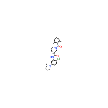 Cc1cccc(C)c1C(=O)N1CCC[C@H](C(=O)Nc2cc(N3CCCC3C)ccc2Cl)C1